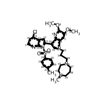 COc1cc2c(nc1OC)c(-c1cc3c(Cl)ccnc3n1S(=O)(=O)c1ccc(C)cc1)cn2CCCN1CCCN(C)CC1